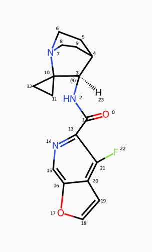 O=C(N[C@@H]1C2CCN(CC2)C12CC2)c1ncc2occc2c1F